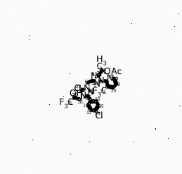 CC(=O)O[C@H](C)c1nc(Cn2nc(-c3ccc(Cl)cc3)n(C[C@H](O)C(F)(F)F)c2=O)nn1-c1ncccc1C(F)(F)F